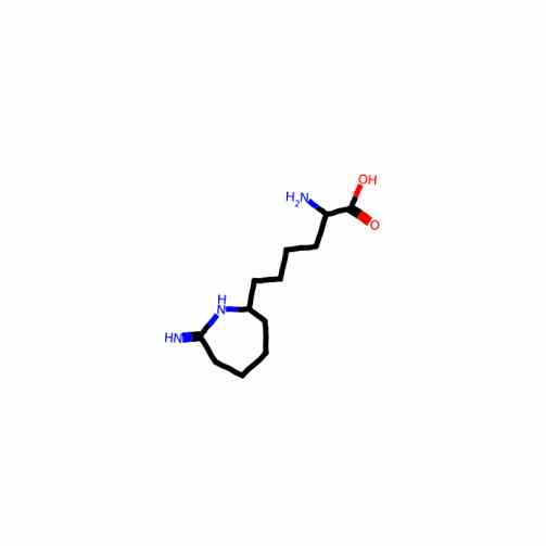 N=C1CCCCC(CCCCC(N)C(=O)O)N1